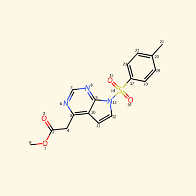 COC(=O)Cc1ncnc2c1ccn2S(=O)(=O)c1ccc(C)cc1